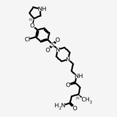 C[C@@H](CC(N)=O)CC(=O)NCCN1CCN(S(=O)(=O)c2ccc(O[C@H]3CCNC3)c(Cl)c2)CC1